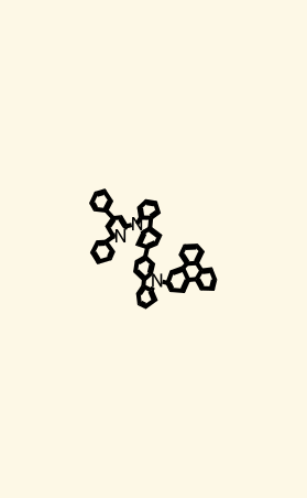 c1ccc(-c2cc(-c3ccccc3)nc(-n3c4ccccc4c4ccc(-c5ccc6c7ccccc7n(-c7ccc8c9ccccc9c9ccccc9c8c7)c6c5)cc43)c2)cc1